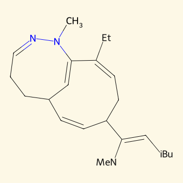 CCC1=C/CC(/C(=C/C(C)CC)NC)C=CC2\C=C\1N(C)/N=C\CC2